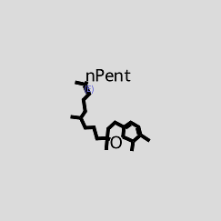 CCCCC/C(C)=C/CCC(C)CCCC1(C)CCC2=CC=C(C)C(C)C2O1